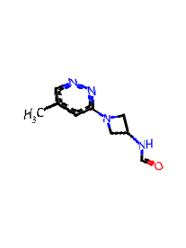 Cc1cnnc(N2CC(NC=O)C2)c1